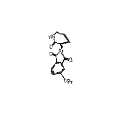 CCCc1ccc2c(c1)C(=O)N(C1CCCNC1=O)C2=O